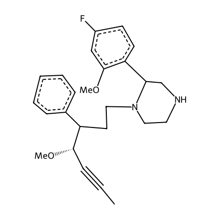 CC#C[C@H](OC)C(CCN1CCNCC1c1ccc(F)cc1OC)c1ccccc1